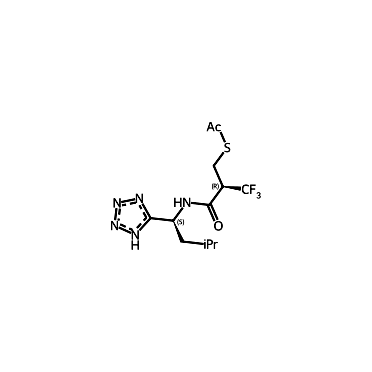 CC(=O)SC[C@H](C(=O)N[C@@H](CC(C)C)c1nnn[nH]1)C(F)(F)F